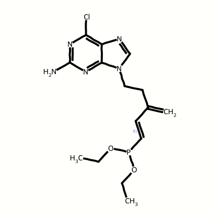 C=C(/C=C/P(OCC)OCC)CCn1cnc2c(Cl)nc(N)nc21